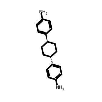 Nc1ccc([C@H]2CC[C@H](c3ccc(N)cc3)CC2)cc1